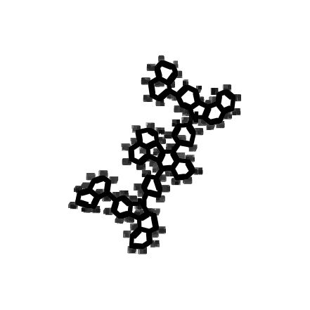 c1ccc2c(-c3ccc4c5c6ccccc6ccc5n(-c5ccc(-c6c7c(c(-c8ccc(-n9c%10cc(-c%11cccc%12ccccc%11%12)ccc%10c%10c%11ccccc%11ccc%109)cc8)c8ccccc68)-c6cccc8cccc-7c68)cc5)c4c3)cccc2c1